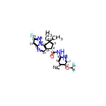 CC1(C)C[C@H](C(=O)Nc2cc(C#N)c(OC(F)F)cn2)c2cnc3cc(F)nn3c21